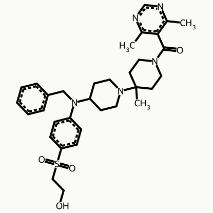 Cc1ncnc(C)c1C(=O)N1CCC(C)(N2CCC(N(Cc3ccccc3)c3ccc(S(=O)(=O)CCO)cc3)CC2)CC1